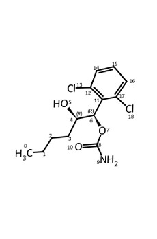 CCCC[C@@H](O)[C@H](OC(N)=O)c1c(Cl)cccc1Cl